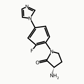 N[C@H]1CCN(c2ccc(-n3ccnc3)cc2F)C1=O